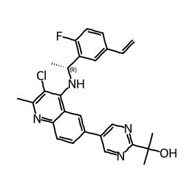 C=Cc1ccc(F)c([C@@H](C)Nc2c(Cl)c(C)nc3ccc(-c4cnc(C(C)(C)O)nc4)cc23)c1